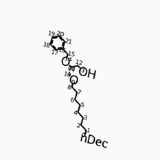 CCCCCCCCCCCCCCCCCCOC[C@@H](CO)OCc1ccccc1